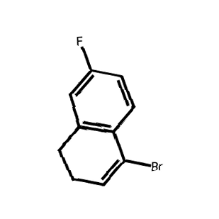 Fc1ccc2c(c1)CCC=C2Br